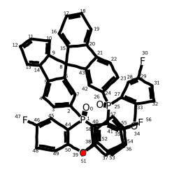 O=P1(c2ccc3c(c2)C2(c4ccccc4-3)c3ccccc3-c3ccc(P4(=O)c5cc(F)ccc5Oc5ccc(F)cc54)cc32)c2cc(F)ccc2Oc2ccc(F)cc21